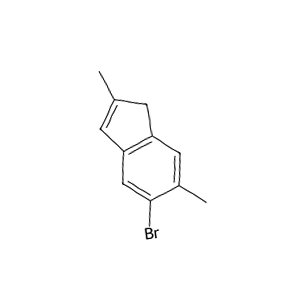 CC1=Cc2cc(Br)c(C)cc2C1